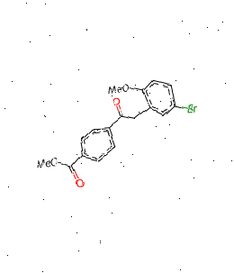 COC(=O)c1ccc(C(=O)Cc2cc(Br)ccc2OC)cc1